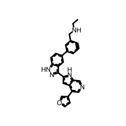 CCNCc1c#ccc(-c2ccc3[nH]nc(-c4cc5c(-c6ccoc6)cncc5[nH]4)c3c2)c1